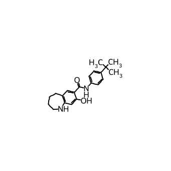 CC(C)(C)c1ccc(NC(=O)c2cc3c(cc2O)NCCCC3)cc1